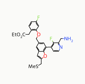 CCOC(=O)Cc1ccc(F)cc1OCc1cc(-c2ccnc(CN)c2F)c2oc(CSC)cc2c1